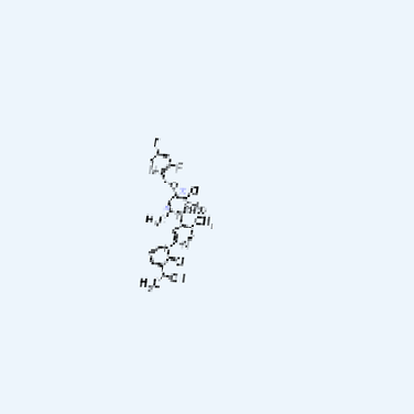 C/C(=C/C(OCc1ncc(F)cc1F)=C(\C)Cl)N(C=O)c1cc(-n2cccc(C(C)O)c2=O)ncc1C